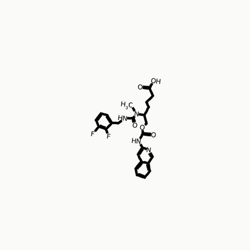 CN(C(=O)NCc1cccc(F)c1F)C(CCCC(=O)O)COC(=O)Nc1cc2ccccc2cn1